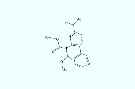 CC(=O)C(C(C)=O)c1ccc(-c2ccccc2)c(N(C(=O)OC(C)(C)C)C(=O)OC(C)(C)C)n1